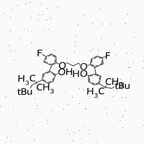 CC(C)(C)CC(C)(C)c1ccc(O)c(-c2cc(F)ccc2OCCCOc2ccc(F)cc2-c2cc(C(C)(C)CC(C)(C)C)ccc2O)c1